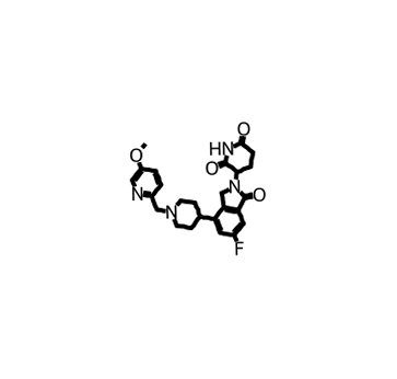 COc1ccc(CN2CCC(c3cc(F)cc4c3CN(C3CCC(=O)NC3=O)C4=O)CC2)nc1